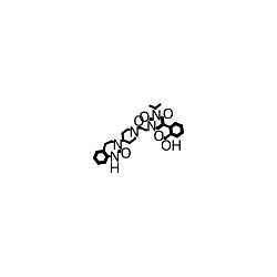 CC(C)n1c(=O)c(-c2ccccc2C(=O)O)cn(CC(=O)N2CCC(N3CCc4ccccc4NC3=O)CC2)c1=O